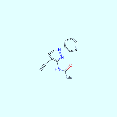 C#Cc1ccnnc1NC(=O)C(C)(C)C.c1ccccc1